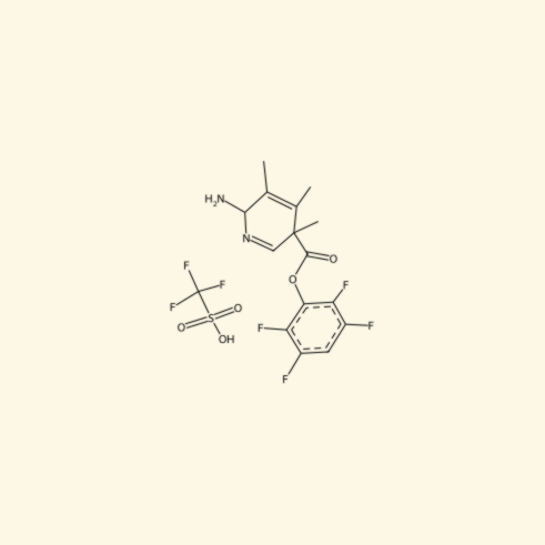 CC1=C(C)C(C)(C(=O)Oc2c(F)c(F)cc(F)c2F)C=NC1N.O=S(=O)(O)C(F)(F)F